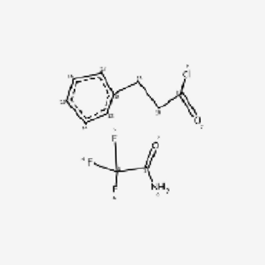 NC(=O)C(F)(F)F.O=C(Cl)CCc1ccccc1